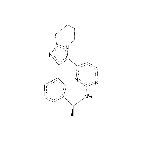 C[C@H](Nc1nccc(-c2cnc3n2CCCC3)n1)c1ccccc1